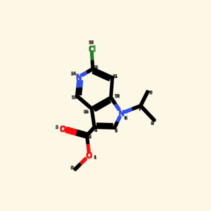 COC(=O)c1cn(C(C)C)c2cc(Cl)ncc12